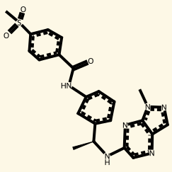 C[C@H](Nc1cnc2cnn(C)c2n1)c1cccc(NC(=O)c2ccc(S(C)(=O)=O)cc2)c1